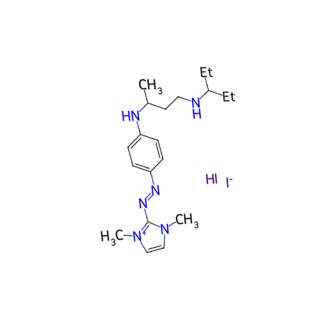 CCC(CC)NCCC(C)Nc1ccc(N=Nc2n(C)cc[n+]2C)cc1.I.[I-]